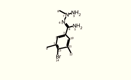 Cc1cc(/C(N)=N/N(C)N)cc(C)c1Br